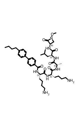 CCCCc1ccc(-c2ccc(C(=O)N[C@@H](CCCCN)C(=O)N[C@@H](CCCCN)C(=O)N[C@@H](C)C(=O)N[C@@H](CC(C)C)C(=O)N[C@@H]3CN(OC)C3=O)cc2)cc1